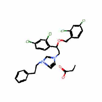 CCC(=O)[O-].Clc1ccc(COC(C[n+]2ccn(CCc3ccccc3)c2)c2ccc(Cl)cc2Cl)c(Cl)c1